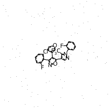 Fc1ccccc1-n1ncc(-c2onc(-c3c(F)cccc3Cl)c2-c2ccoc2)c1C(F)(F)F